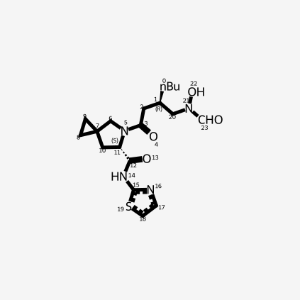 CCCC[C@H](CC(=O)N1CC2(CC2)C[C@H]1C(=O)Nc1nccs1)CN(O)C=O